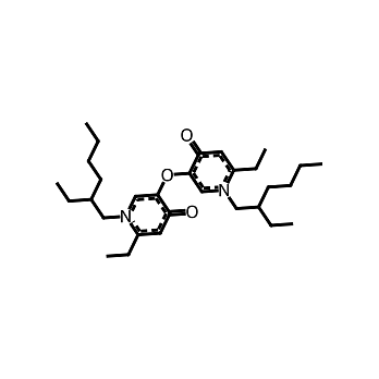 CCCCC(CC)Cn1cc(Oc2cn(CC(CC)CCCC)c(CC)cc2=O)c(=O)cc1CC